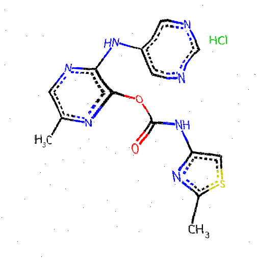 Cc1cnc(Nc2cncnc2)c(OC(=O)Nc2csc(C)n2)n1.Cl